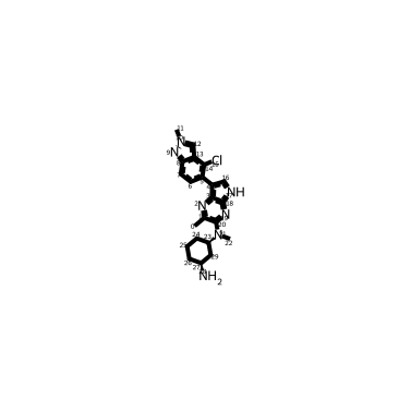 Cc1nc2c(-c3ccc4nn(C)cc4c3Cl)c[nH]c2nc1N(C)[C@@H]1CCC[C@H](N)C1